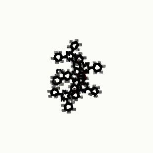 [C-]#[N+]c1cc(-n2c3cc(-c4nc(-c5ccccc5)nc(-c5ccccc5)n4)ccc3c3ccc(-c4nc(-c5ccccc5)nc(-c5ccccc5)n4)cc32)c(-n2c3cc(-c4nc(-c5ccccc5)nc(-c5ccccc5)n4)ccc3c3ccc(-c4nc(-c5ccccc5)nc(-c5ccccc5)n4)cc32)cc1-c1ccncc1